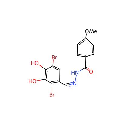 COc1ccc(C(=O)N/N=C\c2cc(Br)c(O)c(O)c2Br)cc1